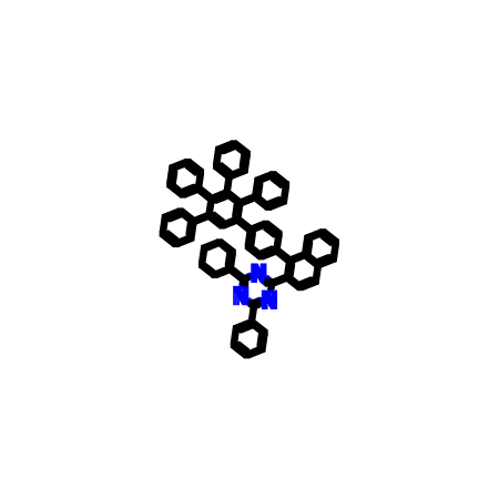 C1=C(c2nc(-c3ccccc3)nc(-c3ccc4ccccc4c3-c3ccc(-c4cc(-c5ccccc5)c(-c5ccccc5)c(-c5ccccc5)c4-c4ccccc4)cc3)n2)CCCC1